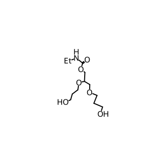 CCNC(=O)OCC(COCCCO)OCCCO